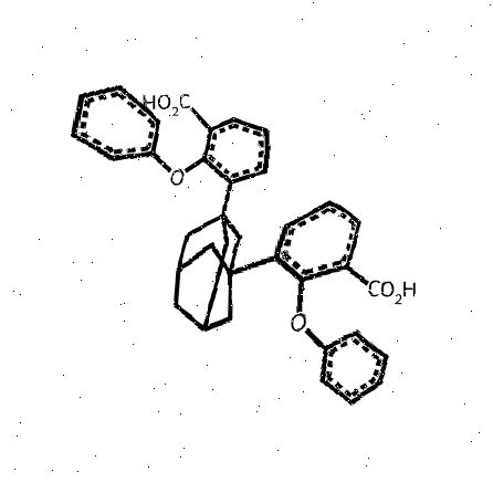 O=C(O)c1cccc(C23CC4CC(C2)CC(c2cccc(C(=O)O)c2Oc2ccccc2)(C4)C3)c1Oc1ccccc1